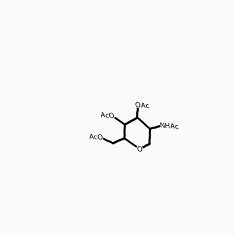 CC(=O)NC1COC(COC(C)=O)C(OC(C)=O)C1OC(C)=O